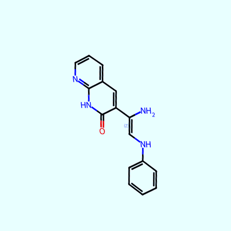 N/C(=C\Nc1ccccc1)c1cc2cccnc2[nH]c1=O